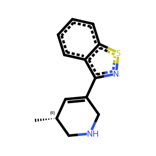 C[C@@H]1C=C(c2nsc3ccccc23)CNC1